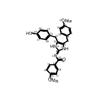 COc1ccc(Cc2[nH]/c(=N\C(=O)c3ccc(OC)cc3)[nH]c2Cc2ccc(O)cc2)cc1